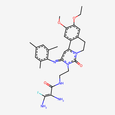 CCOc1cc2c(cc1OC)-c1c/c(=N\c3c(C)cc(C)cc3C)n(CCNC(=O)/C(N)=C(/N)F)c(=O)n1CC2